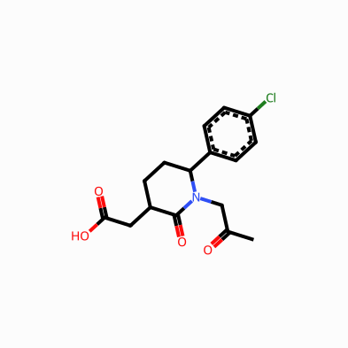 CC(=O)CN1C(=O)C(CC(=O)O)CCC1c1ccc(Cl)cc1